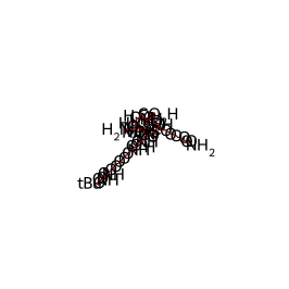 CC(C)(C)OC(=O)NOCC(=O)NCCOCCOCCOCCOCCOCCNC(=O)COCC(=O)NCCCC[C@@H]1NC(=O)CSC[C@@H](C(=O)CCCOCCOCCOCCCC(=O)COCC(N)=O)NC(=O)[C@H](Cc2ccccc2)CC(=O)[C@@H]2CSSC[C@H](NC1=O)C(=O)C[C@@H](CCCNC(=N)N)C(=O)NCC(=O)C[C@@H](CC(=O)O)C(=O)N2